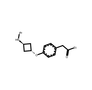 CCC(=O)Cc1ccc(O[C@H]2C[C@H](NC(C)C)C2)cc1